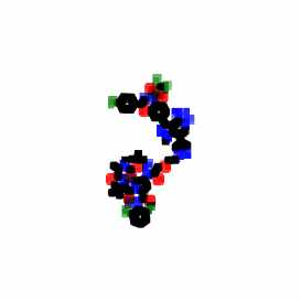 CC(Oc1cc(-c2nn(C)c3c(-c4cnn(CCOCC(=O)NC5C[C@@H](C(=O)Nc6c(F)cccc6F)N(C(=O)C(NC(=O)C(C)N(C)C(=O)OC(C)(C)C)C(C)(C)C)C5)c4)cnc(N)c23)ccc1NS(=O)(=O)C(F)F)c1ccc(F)cc1